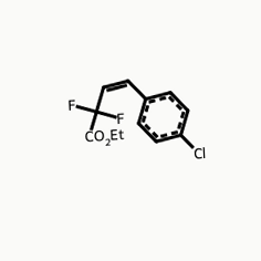 CCOC(=O)C(F)(F)/C=C\c1ccc(Cl)cc1